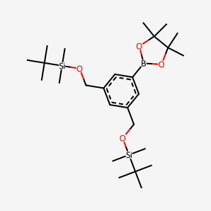 CC1(C)OB(c2cc(CO[Si](C)(C)C(C)(C)C)cc(CO[Si](C)(C)C(C)(C)C)c2)OC1(C)C